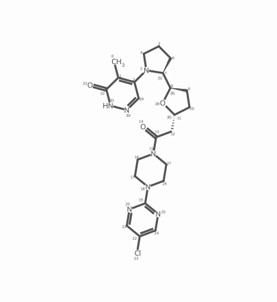 Cc1c(N2CCC[C@H]2[C@H]2CC[C@H](CC(=O)N3CCN(c4ncc(Cl)cn4)CC3)O2)cn[nH]c1=O